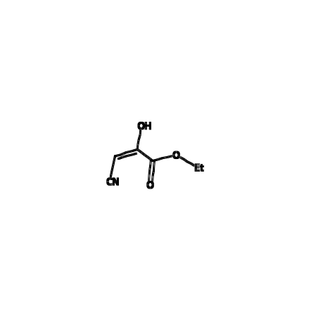 CCOC(=O)/C(O)=C\C#N